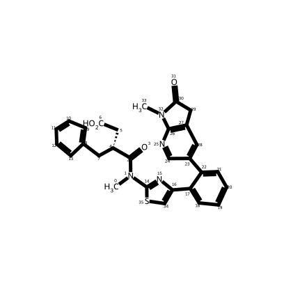 CN(C(=O)[C@@H](CC(=O)O)Cc1ccccc1)c1nc(-c2ccccc2-c2cnc3c(c2)CC(=O)N3C)cs1